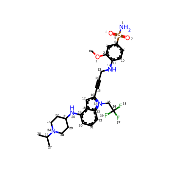 COc1cc(S(N)(=O)=O)ccc1NCC#Cc1cc2c(NC3CCN(C(C)C)CC3)cccc2n1CC(F)(F)F